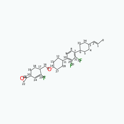 C/C=C/C1CCC(c2ccc(C3CCC(OCC4CCC(C5CO5)C=C4F)CC3)c(F)c2F)CC1